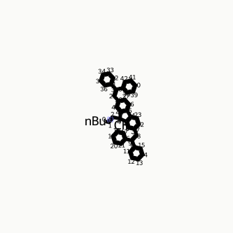 CCCC/C=C/C1(C)c2cc(C=C(c3ccccc3)c3ccccc3)ccc2-c2ccc(C=C(c3ccccc3)c3ccccc3)cc21